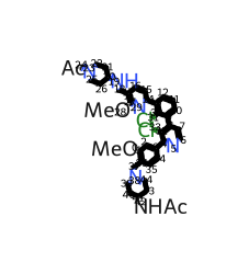 COc1cc(-c2nccc(-c3cccc(-c4ccc(CNC5CCN(C(C)=O)CC5)c(OC)n4)c3Cl)c2Cl)ccc1CN1CCC(NC(C)=O)CC1